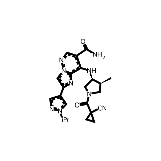 CC(C)n1cc(-c2cn3ncc(C(N)=O)c(N[C@@H]4CN(C(=O)C5(C#N)CC5)C[C@@H]4C)c3n2)cn1